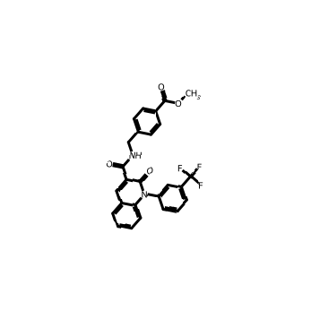 COC(=O)c1ccc(CNC(=O)c2cc3ccccc3n(-c3cccc(C(F)(F)F)c3)c2=O)cc1